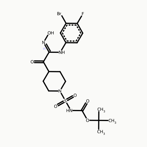 CC(C)(C)OC(=O)NS(=O)(=O)N1CCC(C(=O)/C(=N/O)Nc2ccc(F)c(Br)c2)CC1